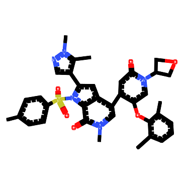 Cc1ccc(S(=O)(=O)n2c(-c3cnn(C)c3C)cc3c(-c4cc(=O)n(C5COC5)cc4Oc4c(C)cccc4C)cn(C)c(=O)c32)cc1